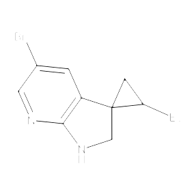 CCC1CC12CNc1ncc(Br)cc12